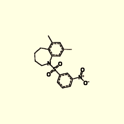 Cc1cc(C)c2c(c1)N(S(=O)(=O)c1cccc([N+](=O)[O-])c1)CCCC2